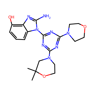 CC1(C)CN(c2nc(N3CCOCC3)nc(-n3c(N)nc4c(O)cccc43)n2)CCO1